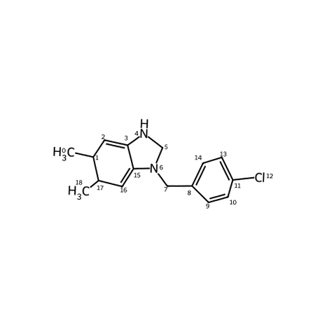 CC1C=C2NCN(Cc3ccc(Cl)cc3)C2=CC1C